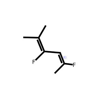 CC(C)=C(F)/C=C(\C)F